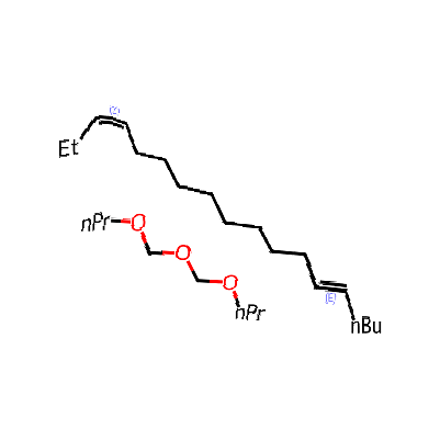 CC/C=C\CCCCCCCC/C=C/CCCC.CCCOCOCOCCC